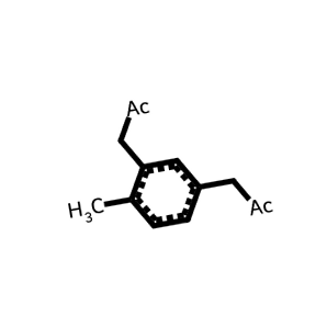 CC(=O)Cc1ccc(C)c(CC(C)=O)c1